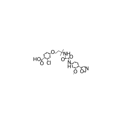 COc1cc(NC(=O)C(=O)NC(C)(C)CCOc2ccc(C(=O)O)c(Cl)c2)ccc1-c1cnco1